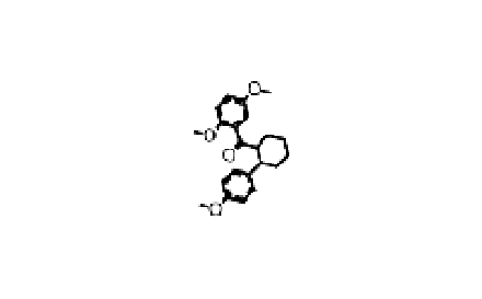 COc1ccc(C2CCCCC2C(=O)c2cc(OC)ccc2OC)cc1